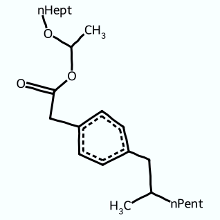 CCCCCCCOC(C)OC(=O)Cc1ccc(CC(C)CCCCC)cc1